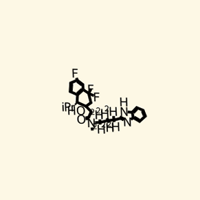 [2H]C([2H])(c1nc2ccccc2[nH]1)C([2H])([2H])C([2H])([2H])N(C)C(=O)C[C@@]1(O)CC(F)(F)c2cc(F)ccc2[C@@H]1C(C)C